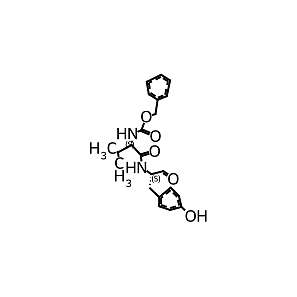 CC(C)[C@H](NC(=O)OCc1ccccc1)C(=O)N[C@H](C=O)Cc1ccc(O)cc1